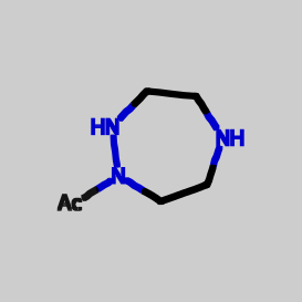 CC(=O)N1CCNCCN1